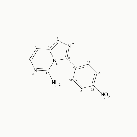 Nc1nccc2cnc(-c3ccc([N+](=O)[O-])cc3)n12